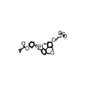 Cc1cc(OCCCS(C)(=O)=O)cc2c1-c1cc(CNc3cccc(OC(=O)C4CC4)c3)ccc1COC2